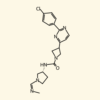 C/N=C\N1CC[C@@H](NC(=O)N2CC(c3ccnc(-c4ccc(Cl)cc4)n3)C2)C1